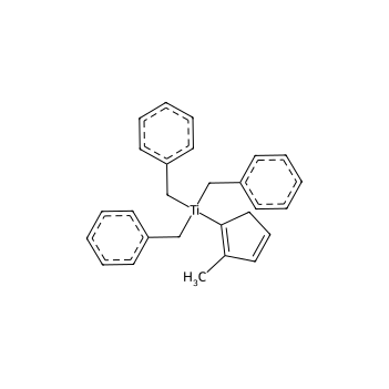 CC1=[C]([Ti]([CH2]c2ccccc2)([CH2]c2ccccc2)[CH2]c2ccccc2)CC=C1